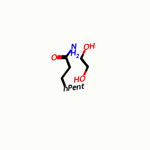 CCCCCCCC(N)=O.OCCO